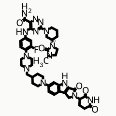 CN1CCN([C@@H]2CCCN(c3nnc(C(N)=O)c(Nc4ccc(N5CCN(CC6CCN(c7ccc8c9c([nH]c8c7)C(=O)N(C7CCC(=O)NC7=O)C9)CC6)CC5)c(F)c4)n3)C2)C1=O